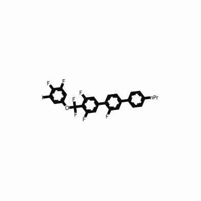 CCCc1ccc(-c2ccc(-c3cc(F)c(C(F)(F)Oc4cc(F)c(F)c(I)c4)c(F)c3)c(F)c2)cc1